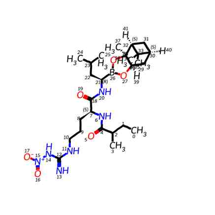 CCC(C)C(=O)N[C@@H](CCCNC(=N)N[N+](=O)[O-])C(=O)N[C@@H](CC(C)C)B1O[C@@H]2C[C@@H]3C[C@@H](C3(C)C)[C@]2(C)O1